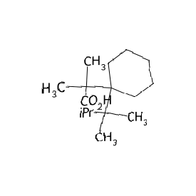 CC(C)C(C)(C)C1(C(C)(C)C(=O)O)CCCCC1